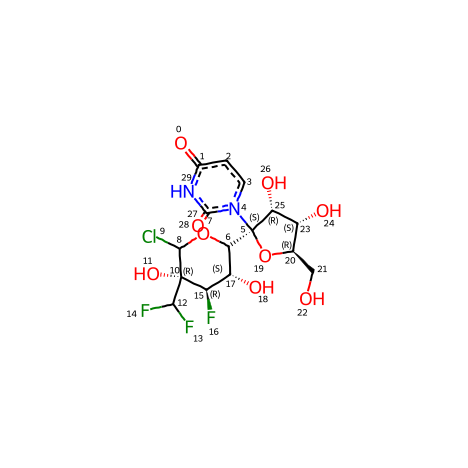 O=c1ccn([C@]2(C3OC(Cl)[C@](O)(C(F)F)[C@H](F)[C@H]3O)O[C@H](CO)[C@@H](O)[C@H]2O)c(=O)[nH]1